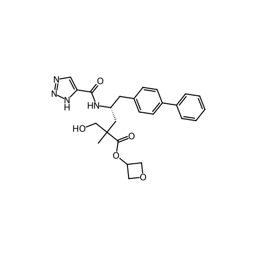 CC(CO)(C[C@@H](Cc1ccc(-c2ccccc2)cc1)NC(=O)c1cnn[nH]1)C(=O)OC1COC1